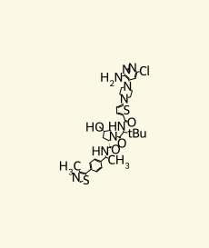 Cc1ncsc1-c1ccc(C(C)NC(=O)[C@@H]2C[C@@H](O)CN2C(=O)C(NC(=O)c2ccc(N3CCN(c4cc(Cl)nnc4N)CC3)s2)C(C)(C)C)cc1